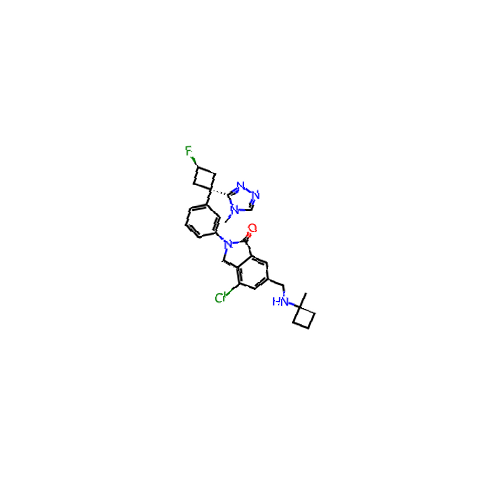 Cn1cnnc1[C@]1(c2cccc(N3Cc4c(Cl)cc(CNC5(C)CCC5)cc4C3=O)c2)C[C@@H](F)C1